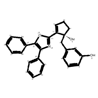 Oc1cccc(C[C@]2(O)CCC=C2c2nc(-c3ccccc3)c(-c3ccccc3)o2)c1